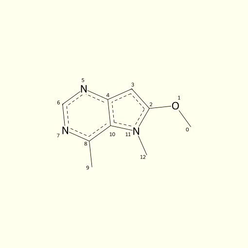 COc1cc2ncnc(C)c2n1C